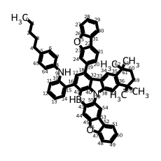 CCCCCc1ccc(Nc2ccccc2-c2cc(-c3ccc4c(c3)oc3ccccc34)c3c4cc5c(cc4n4c3c2Bc2cc3oc6ccccc6c3cc2-4)C(C)(C)CCC5(C)C)cc1